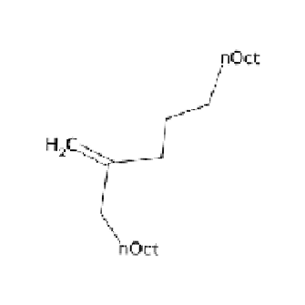 C=C(CCCCCCCCC)CCCCCCCCCCC